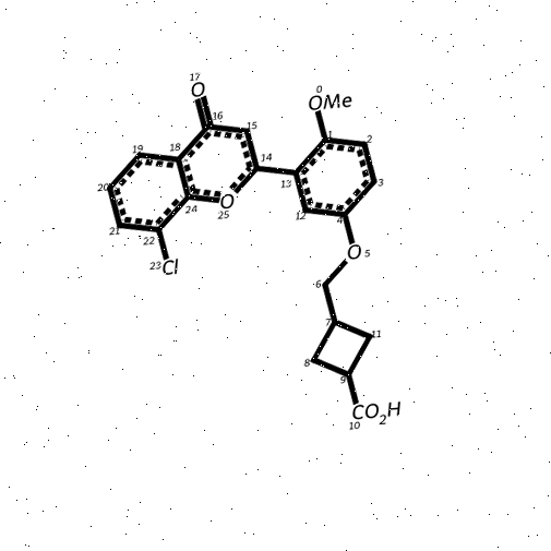 COc1ccc(OCC2CC(C(=O)O)C2)cc1-c1cc(=O)c2cccc(Cl)c2o1